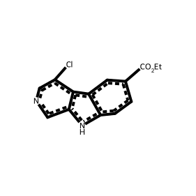 CCOC(=O)c1ccc2[nH]c3cncc(Cl)c3c2c1